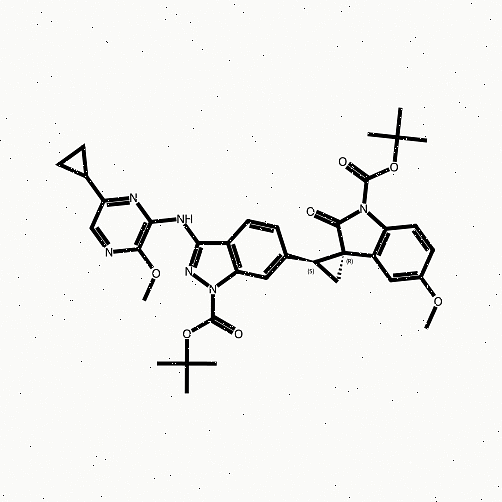 COc1ccc2c(c1)[C@]1(C[C@H]1c1ccc3c(Nc4nc(C5CC5)cnc4OC)nn(C(=O)OC(C)(C)C)c3c1)C(=O)N2C(=O)OC(C)(C)C